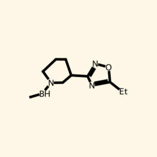 CBN1CCCC(c2noc(CC)n2)C1